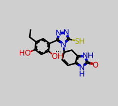 CCc1cc(-c2nnc(S)n2[C@]2(C)C=Cc3[nH]c(=O)[nH]c3C2)c(O)cc1O